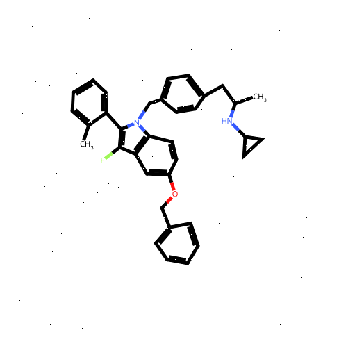 Cc1ccccc1-c1c(F)c2cc(OCc3ccccc3)ccc2n1Cc1ccc(CC(C)NC2CC2)cc1